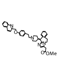 COC(=O)Cc1cnc2n1CCc1ccccc1C2=C1CCN(CCc2ccc(OCc3ccc4ccccc4n3)cc2)CC1